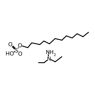 CCCCCCCCCCCCOS(=O)(=O)O.CCN(N)CC